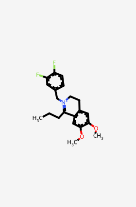 CCCC1=[N+](Cc2ccc(F)c(F)c2)CCc2cc(OC)c(OC)cc21